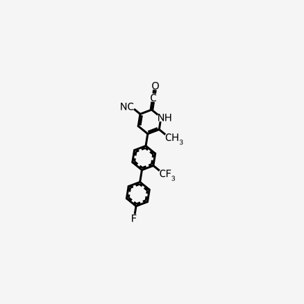 CC1=C(c2ccc(-c3ccc(F)cc3)c(C(F)(F)F)c2)C=C(C#N)C(=C=O)N1